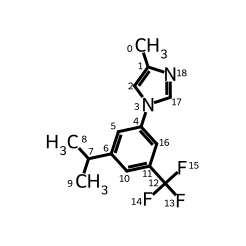 Cc1cn(-c2cc(C(C)C)cc(C(F)(F)F)c2)cn1